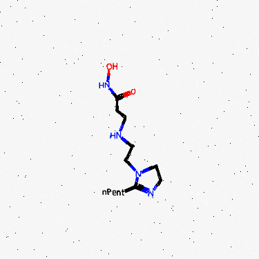 CCCCCC1=NCCN1CCNCCC(=O)NO